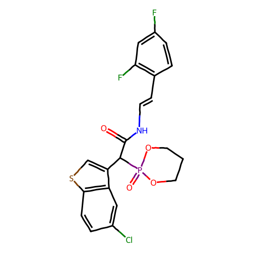 O=C(NC=Cc1ccc(F)cc1F)C(c1csc2ccc(Cl)cc12)P1(=O)OCCCO1